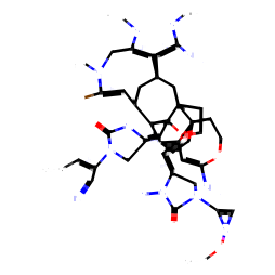 CCCCN/C(N)=C/C12/C=C(/NC=O)CN(C)/C(S)=C/C(C1)C1C3CCC4(CCOC(N)=CC34/C=C3\CN(C4=CN4OSC)C(=O)N3N)C3(CCOC13/C=C1/CN(/C(C=N)=C/NC)C(=O)N1)C2